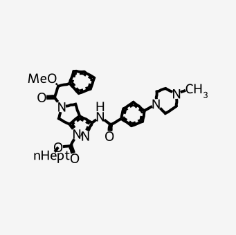 CCCCCCCOC(=O)n1nc(NC(=O)c2ccc(N3CCN(C)CC3)cc2)c2c1CN(C(=O)[C@H](OC)c1ccccc1)C2